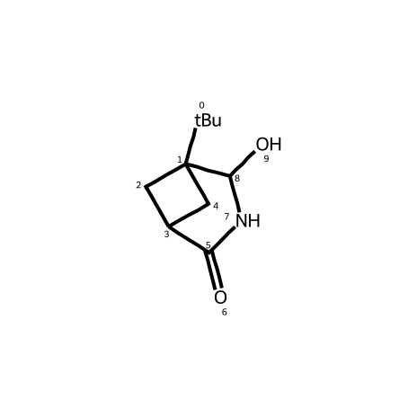 CC(C)(C)C12CC(C1)C(=O)NC2O